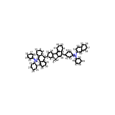 CC1(C)c2cc(-c3c4ccccc4c(N(c4ccccc4)c4ccccc4)c4ccccc34)ccc2-c2c1cc(-c1ccc(N(c3ccccc3)c3ccc4ccccc4c3)cc1)c1ccccc21